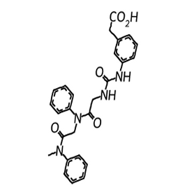 CN(C(=O)CN(C(=O)CNC(=O)Nc1cccc(CC(=O)O)c1)c1ccccc1)c1ccccc1